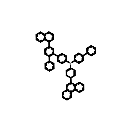 C1=CC(c2cc3ccccc3c3ccccc23)CC=C1N(c1ccc(-c2ccccc2)cc1)c1ccc(-c2cc(-c3cccc4ccccc34)ccc2-c2ccccc2)cc1